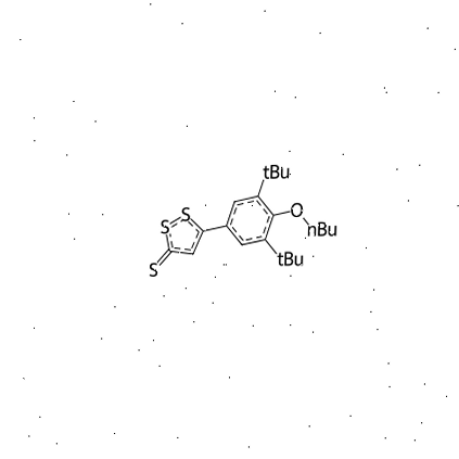 CCCCOc1c(C(C)(C)C)cc(-c2cc(=S)ss2)cc1C(C)(C)C